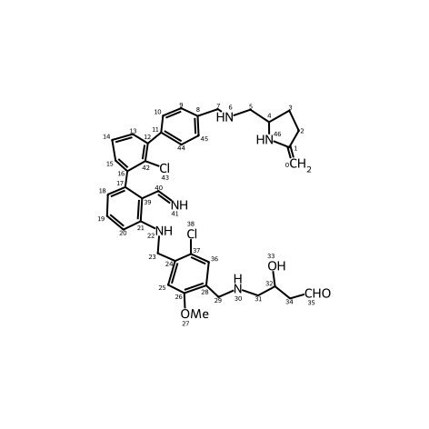 C=C1CCC(CNCc2ccc(-c3cccc(-c4cccc(NCc5cc(OC)c(CNCC(O)CC=O)cc5Cl)c4C=N)c3Cl)cc2)N1